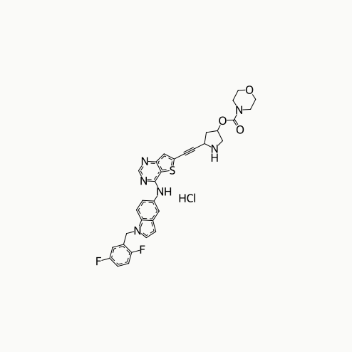 Cl.O=C(OC1CNC(C#Cc2cc3ncnc(Nc4ccc5c(ccn5Cc5cc(F)ccc5F)c4)c3s2)C1)N1CCOCC1